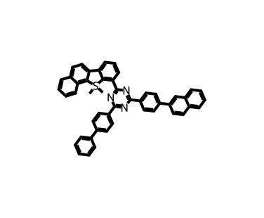 CS1(C)c2c(-c3nc(-c4ccc(-c5ccccc5)cc4)nc(-c4ccc(-c5ccc6ccccc6c5)cc4)n3)cccc2-c2ccc3ccccc3c21